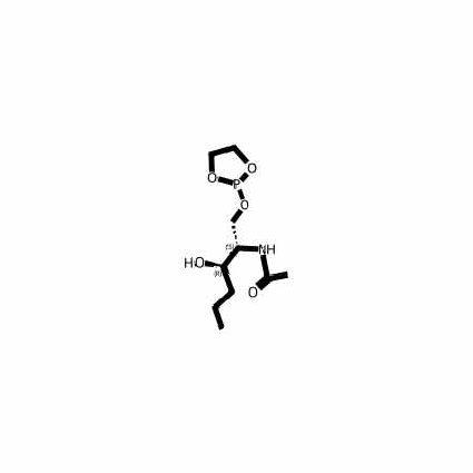 CCC[C@@H](O)[C@H](COP1OCCO1)NC(C)=O